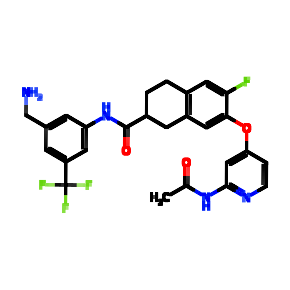 CC(=O)Nc1cc(Oc2cc3c(cc2F)CCC(C(=O)Nc2cc(CN)cc(C(F)(F)F)c2)C3)ccn1